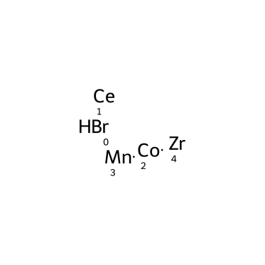 Br.[Ce].[Co].[Mn].[Zr]